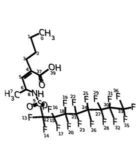 CCCC/C(=C/C(C)NS(=O)(=O)C(F)(F)C(F)(F)C(F)(F)C(F)(F)C(F)(F)C(F)(F)C(F)(F)C(F)(F)F)C(=O)O